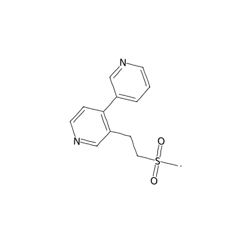 [CH2]S(=O)(=O)CCc1cnccc1-c1cccnc1